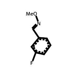 CON=Cc1cccc(F)c1